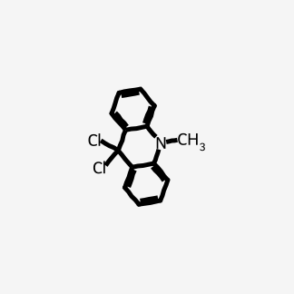 CN1c2ccccc2C(Cl)(Cl)c2ccccc21